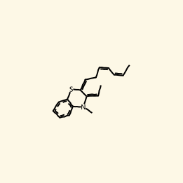 C/C=C\C=C/C/C=C1/Sc2ccccc2N(C)/C1=C/C